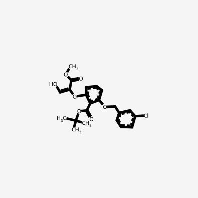 COC(=O)C(=CO)Oc1cccc(OCc2cccc(Cl)c2)c1C(=O)OC(C)(C)C